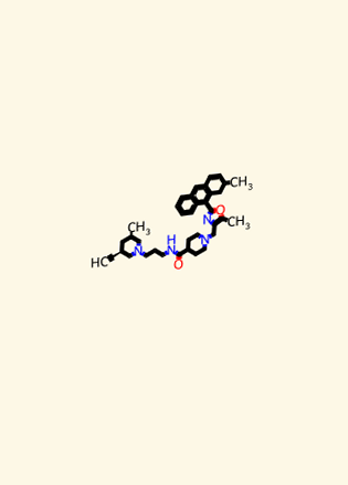 C#C[C@H]1C[C@@H](C)CN(CCCNC(=O)C2CCN(Cc3nc(-c4c5c(cc6ccccc46)C=CC(C)C5)oc3C)CC2)C1